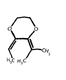 C/C=C1/OCCOC1=C(C)C